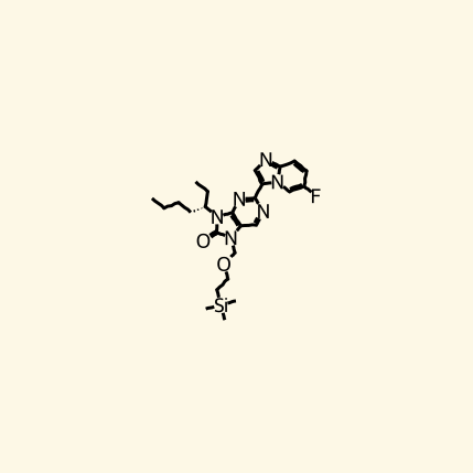 CCCC[C@H](CC)n1c(=O)n(COCC[Si](C)(C)C)c2cnc(-c3cnc4ccc(F)cn34)nc21